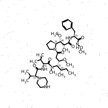 CC[C@H](C)[C@@H](C(CC(=O)N1CCC[C@H]1[C@H](OC)[C@@H](C)C(=O)N[C@@H](Cc1ccccc1)C(=O)NOC)OC)N(C)C(=O)[C@@H](NC(=O)[C@H](C(C)C)N1CCNCC1)C(C)C